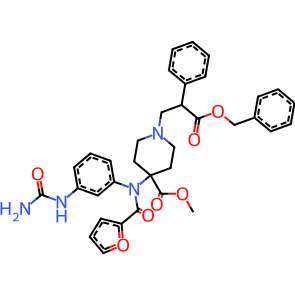 COC(=O)C1(N(C(=O)c2ccco2)c2cccc(NC(N)=O)c2)CCN(CC(C(=O)OCc2ccccc2)c2ccccc2)CC1